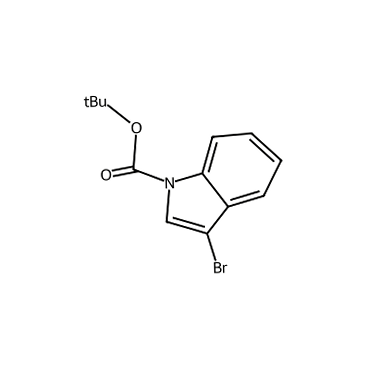 CC(C)(C)OC(=O)n1cc(Br)c2ccccc21